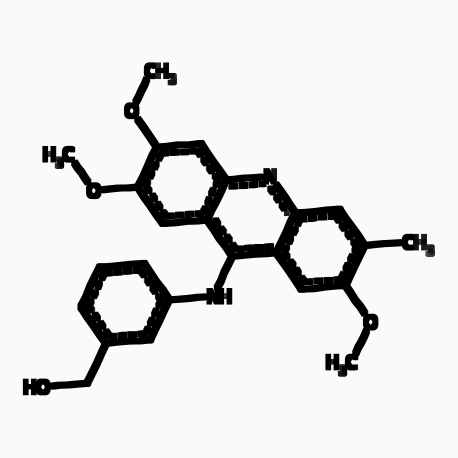 COc1cc2c(Nc3cccc(CO)c3)c3cc(OC)c(OC)cc3nc2cc1C